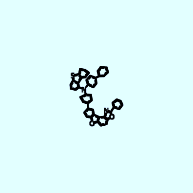 c1ccc(-c2ccc(N(c3ccc(-c4ccc5oc6ccc7oc(-c8ccccc8)nc7c6c5c4)cc3)c3cccc4sc5ccccc5c34)cc2)cc1